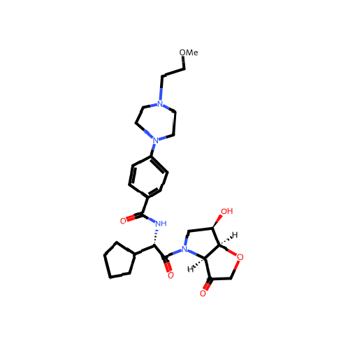 COCCN1CCN(c2ccc(C(=O)N[C@H](C(=O)N3C[C@@H](O)[C@H]4OCC(=O)[C@H]43)C3CCCC3)cc2)CC1